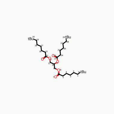 CC(C)(C)CCCCCC(=O)OCC(COC(=O)CCCCCC(C)(C)C)OC(=O)CCCCCC(C)(C)C